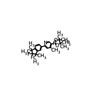 Cc1cc(-c2ccc3c(c2)C(C)(C)C(F)(F)C3(C)C)ncc1N1OC(C)(C)C(C)(C)O1